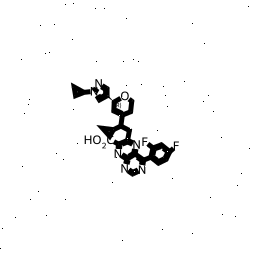 O=C(O)c1nc2ncnc(-c3ccc(F)cc3F)c2nc1CC(C1=C[C@H](c2cnn(C3CC3)c2)OCC1)C1CC1